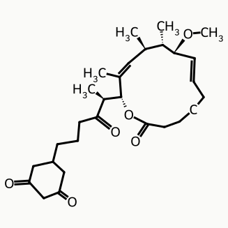 CO[C@H]1/C=C/CCCCC(=O)O[C@H]([C@H](C)C(=O)CCCC2CC(=O)CC(=O)C2)/C(C)=C\[C@@H](C)[C@@H]1C